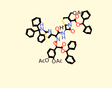 CC(=O)OCC1=C(C(=O)OC(c2ccccc2)c2ccccc2)N2C(=O)[C@@H](NC(=O)C(=NOC(C(=O)OC(c3ccccc3)c3ccccc3)c3ccc(OC(C)=O)c(OC(C)=O)c3)c3csc(NC(c4ccccc4)(c4ccccc4)c4ccccc4)n3)[C@H]2SC1